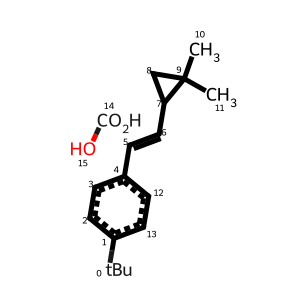 CC(C)(C)c1ccc(C=CC2CC2(C)C)cc1.O=C(O)O